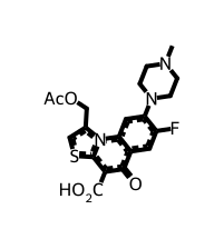 CC(=O)OCc1csc2c(C(=O)O)c(=O)c3cc(F)c(N4CCN(C)CC4)cc3n12